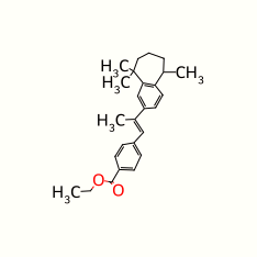 CCOC(=O)c1ccc(C=C(C)c2ccc3c(c2)C(C)(C)CCCC3C)cc1